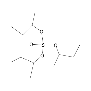 CCC(C)O[Si]([O])(OC(C)CC)OC(C)CC